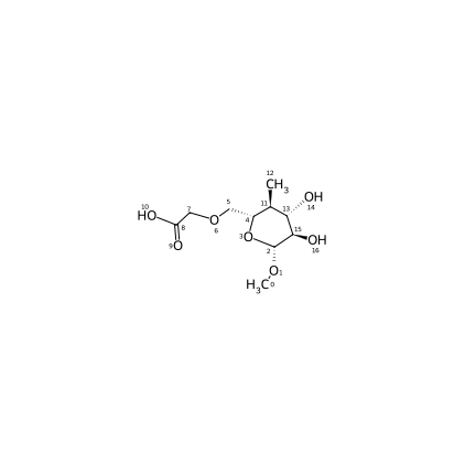 CO[C@@H]1O[C@H](COCC(=O)O)[C@@H](C)[C@H](O)[C@H]1O